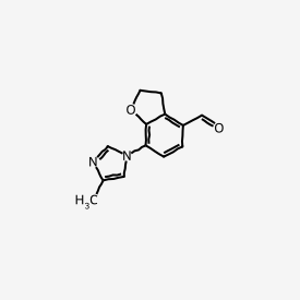 Cc1cn(-c2ccc(C=O)c3c2OCC3)cn1